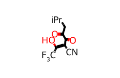 CC(C)CC(=O)C(=O)C(C#N)=C(O)C(F)(F)F